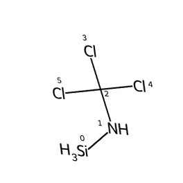 [SiH3]NC(Cl)(Cl)Cl